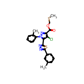 CSCOC(=O)c1nn(-c2ccccc2C)c(-c2nnc(-c3cccc(C)c3)s2)c1Cl